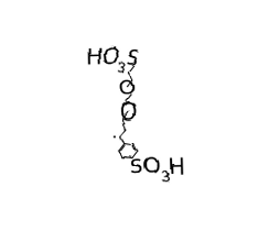 O=S(=O)(O)CCCOCCOCC[CH]c1ccc(S(=O)(=O)O)cc1